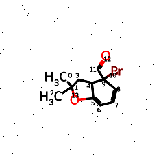 CC1(C)CC2C(=CC=CC2(Br)C=O)O1